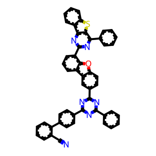 N#Cc1ccccc1-c1ccc(-c2nc(-c3ccccc3)nc(-c3ccc4oc5c(-c6nc(-c7ccccc7)c7sc8ccccc8c7n6)cccc5c4c3)n2)cc1